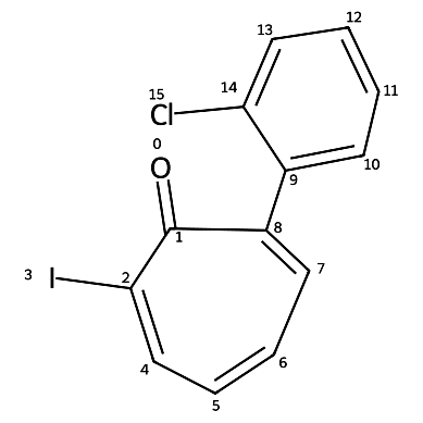 O=c1c(I)ccccc1-c1ccccc1Cl